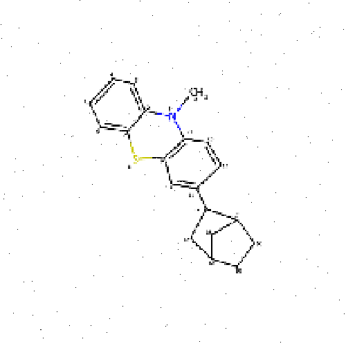 CN1c2ccccc2Sc2cc(C3CC4CCC3C4)ccc21